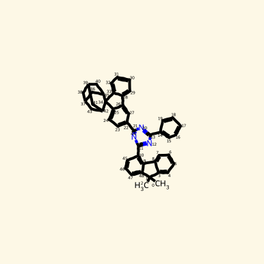 CC1(C)c2ccccc2-c2c(-c3nc(-c4ccccc4)nc(-c4ccc5c(c4)-c4ccccc4C54C5CC6CC(C5)CC4C6)n3)cccc21